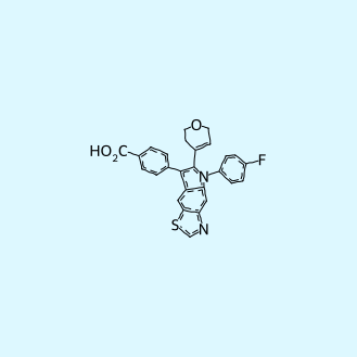 O=C(O)c1ccc(-c2c(C3=CCOCC3)n(-c3ccc(F)cc3)c3cc4ncsc4cc23)cc1